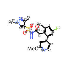 COc1cc(-c2cc(F)cc(C(C)C)c2CC(=O)NS(=O)(=O)c2cn(C(C)C)nc2C)ccn1